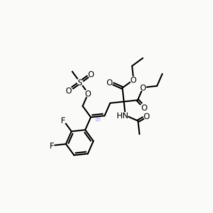 CCOC(=O)C(C/C=C(\COS(C)(=O)=O)c1cccc(F)c1F)(NC(C)=O)C(=O)OCC